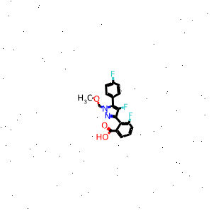 COCn1nc(-c2c(F)cccc2C(=O)O)c(F)c1-c1ccc(F)cc1